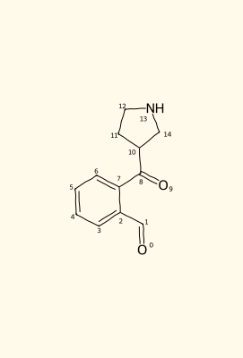 O=Cc1ccccc1C(=O)C1CCNC1